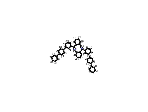 c1ccc(-c2ccc(-c3cccc(/C4=N/c5ccccc5/C(c5cccc(-c6ccc(-c7ccccc7)cc6)c5)=N\c5ccccc54)c3)cc2)cc1